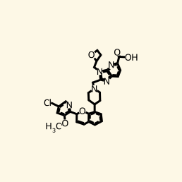 COc1cc(Cl)cnc1C1C=Cc2cccc(C3CCN(Cc4nc5ccc(C(=O)O)nc5n4CC4CCO4)CC3)c2O1